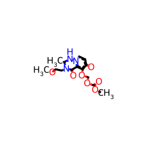 COCCN1C(=O)c2c(OCOC(=O)OC)c(=O)ccn2N[C@@H]1C